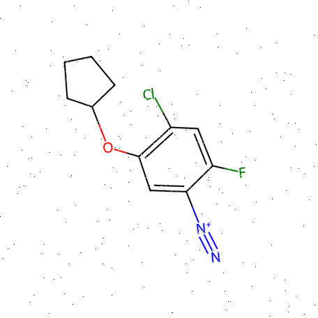 N#[N+]c1cc(OC2CCCC2)c(Cl)cc1F